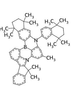 Cc1cc2c3c(c1)-n1c4c(c5cccc(c51)B3c1cc3c(cc1N2c1ccc2c(c1)C(C)(C)CCC2(C)C)C(C)(C)CCC3(C)C)-c1ccccc1C4(C)C